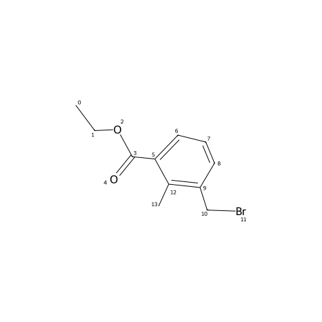 CCOC(=O)c1cccc(CBr)c1C